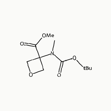 COC(=O)C1(N(C)C(=O)OC(C)(C)C)COC1